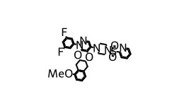 COc1cccc2c1CCC(Oc1c(N3CCN(S(=O)(=O)c4ccccn4)CC3)cnn(-c3cc(F)cc(F)c3)c1=O)C2